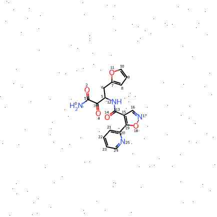 NC(=O)C(=O)C(Cc1ccco1)NC(=O)c1cnoc1-c1ccccn1